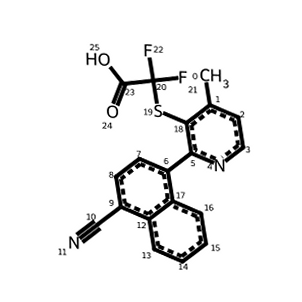 Cc1ccnc(-c2ccc(C#N)c3ccccc23)c1SC(F)(F)C(=O)O